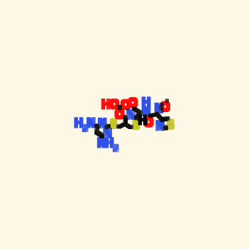 CON=C(C(=O)NC1C(=O)N2C(OC(=O)O)=C(CSc3nc(N)cc(N)n3)CS[C@@H]12)c1cscn1